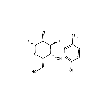 Nc1ccc(O)cc1.OC[C@H]1O[C@H](O)[C@@H](O)[C@@H](O)[C@@H]1O